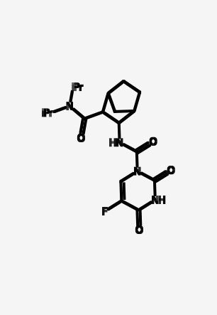 CC(C)N(C(=O)C1C2CCC(C2)C1NC(=O)n1cc(F)c(=O)[nH]c1=O)C(C)C